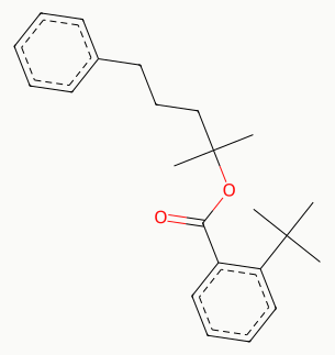 CC(C)(CCCc1ccccc1)OC(=O)c1ccccc1C(C)(C)C